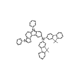 CC1(C)c2ccccc2-c2ccc(N(c3ccc4c(c3)C(C)(C)c3ccccc3-4)c3ccc4c(c3)c3c5ccn(-c6ccccc6)c5ccc3n4-c3ccccc3)cc21